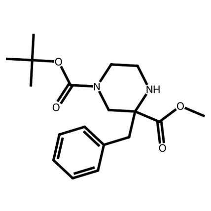 COC(=O)C1(Cc2ccccc2)CN(C(=O)OC(C)(C)C)CCN1